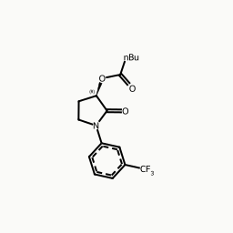 CCCCC(=O)O[C@@H]1CCN(c2cccc(C(F)(F)F)c2)C1=O